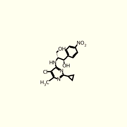 Cc1nc(C2CC2)nc(N[C@H](CO)[C@H](O)c2ccc([N+](=O)[O-])cc2)c1Cl